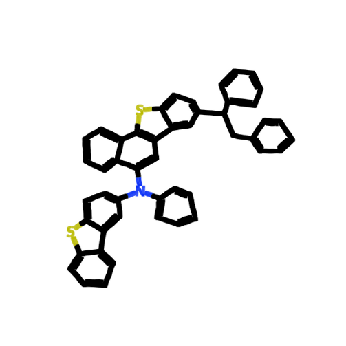 c1ccc(CC(c2ccccc2)c2ccc3sc4c5ccccc5c(N(c5ccccc5)c5ccc6sc7ccccc7c6c5)cc4c3c2)cc1